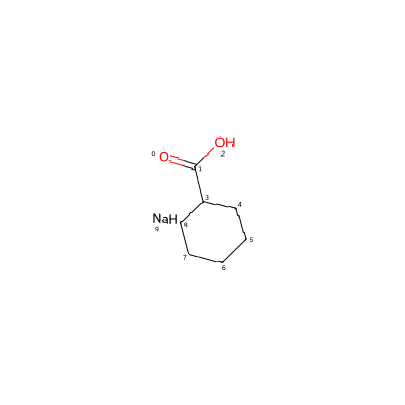 O=C(O)C1CCCCC1.[NaH]